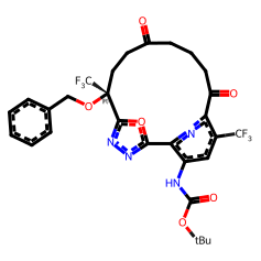 CC(C)(C)OC(=O)Nc1cc(C(F)(F)F)c2nc1-c1nnc(o1)[C@@](OCc1ccccc1)(C(F)(F)F)CCC(=O)CCCC2=O